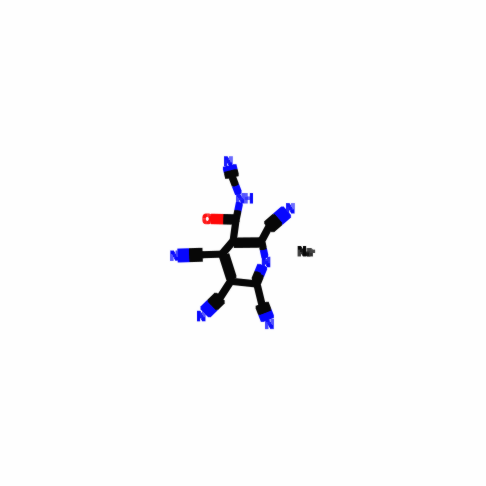 N#CNC(=O)c1c(C#N)nc(C#N)c(C#N)c1C#N.[Na]